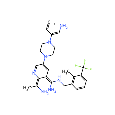 C=C/C(=C\N)N1CCN(c2cnc(=C(\C)N)/c(=C(\N)NCc3cccc(C(F)(F)F)c3C)c2)CC1